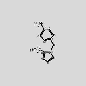 Nc1ccc(Cn2cccc2C(=O)O)cc1